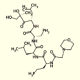 CC(C)C[C@H](NC(=O)[C@H](CCP)NC(=O)CN1CCOCC1)C(=O)N[C@@H](CP)C(=O)N[C@@H](CC(C)C)C(=O)[C@](C)(O)CO